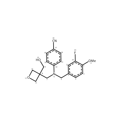 COc1ccc(CN(CC2(CO)COC2)c2ccc(C#N)cc2)cc1F